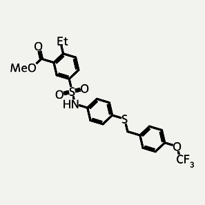 CCc1ccc(S(=O)(=O)Nc2ccc(SCc3ccc(OC(F)(F)F)cc3)cc2)cc1C(=O)OC